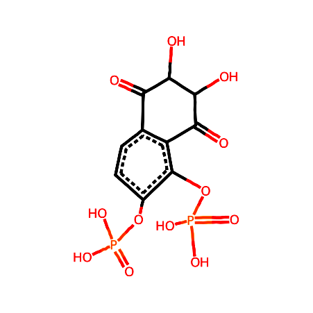 O=C1c2ccc(OP(=O)(O)O)c(OP(=O)(O)O)c2C(=O)C(O)C1O